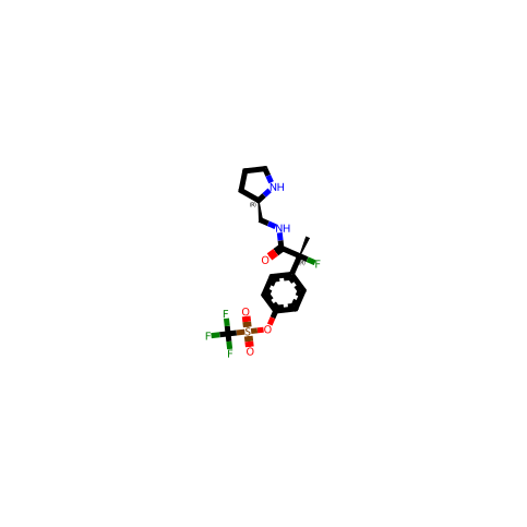 C[C@](F)(C(=O)NC[C@H]1CCCN1)c1ccc(OS(=O)(=O)C(F)(F)F)cc1